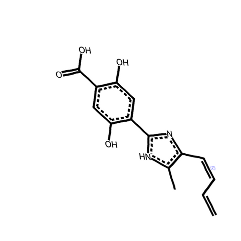 C=C/C=C\c1nc(-c2cc(O)c(C(=O)O)cc2O)[nH]c1C